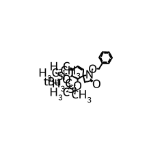 C=C1C=CC2(CC(=O)N2OCc2ccccc2)C(O[Si](C)(C)C)C1O[Si](C)(C)C(C)(C)C